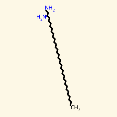 CCCCCCCCCCCCCCCCCCCCCCCCCCCCCCCCCCCC(N)CCN